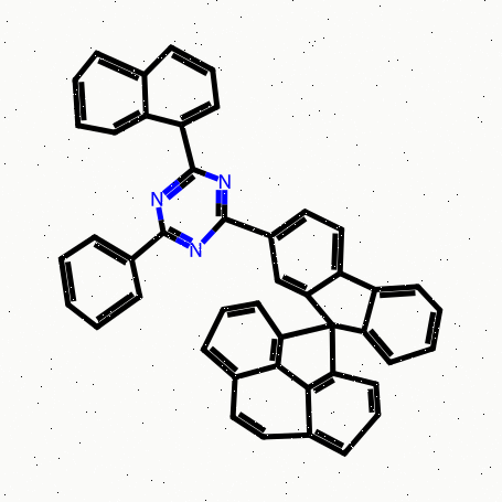 c1ccc(-c2nc(-c3ccc4c(c3)C3(c5ccccc5-4)c4cccc5ccc6cccc3c6c45)nc(-c3cccc4ccccc34)n2)cc1